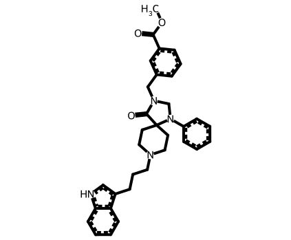 COC(=O)c1cccc(CN2CN(c3ccccc3)C3(CCN(CCCc4c[nH]c5ccccc45)CC3)C2=O)c1